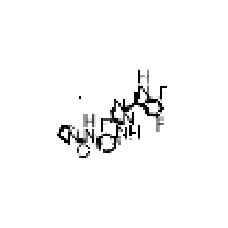 O=C(N[C@H]1CCC[C@@H](Nc2nc(-c3c[nH]c4c(F)cc(F)cc34)ncc2F)C1)N1CCCC1